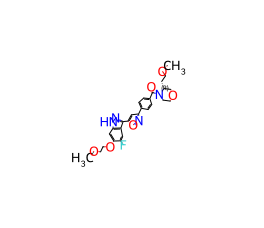 COCCOc1cc2[nH]nc(-c3cc(-c4ccc(C(=O)N5CCOC[C@H]5CCOC)cc4)no3)c2cc1F